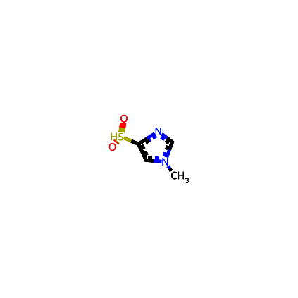 Cn1cnc([SH](=O)=O)c1